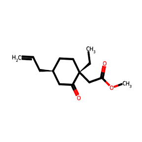 C=CC[C@H]1CC[C@](CC)(CC(=O)OC)C(=O)C1